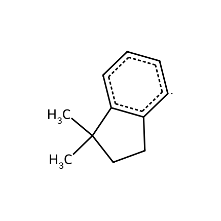 CC1(C)CCc2[c]cccc21